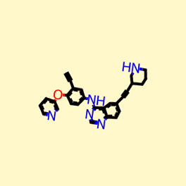 C#Cc1cc(Nc2ncnc3ccc(C#CC4CCCNC4)cc23)ccc1Oc1cccnc1